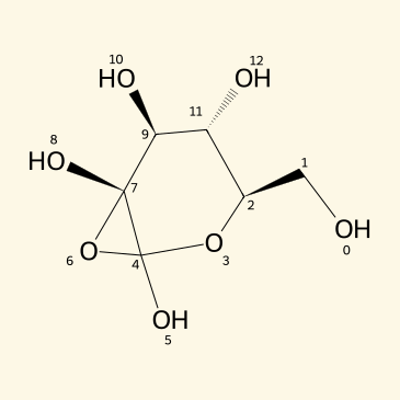 OC[C@H]1OC2(O)O[C@]2(O)[C@@H](O)[C@@H]1O